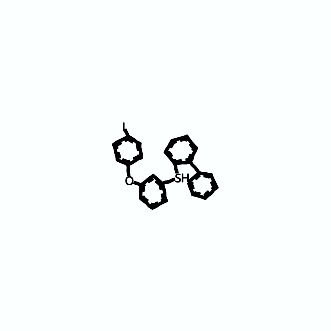 Ic1ccc(Oc2cccc([SH]3c4ccccc4-c4ccccc43)c2)cc1